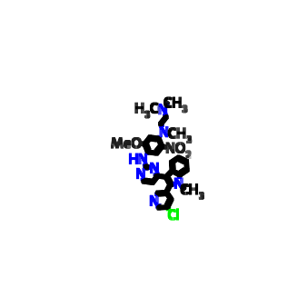 COc1cc(N(C)CCN(C)C)c([N+](=O)[O-])cc1Nc1nccc(-c2c(-c3cncc(Cl)c3)n(C)c3ccccc23)n1